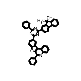 CC1(C)c2ccccc2-c2ccc(-c3nc(-c4ccccc4)nc(-c4ccc5oc6c(-c7ccccc7)nc7ccccc7c6c5c4)n3)cc21